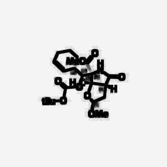 COC(=O)[C@]1([C@@H](OC(=O)OC(C)(C)C)[C@@H]2C=CCCC2)NC(=O)[C@@H]2C[C@@H](OC)O[C@@]21C